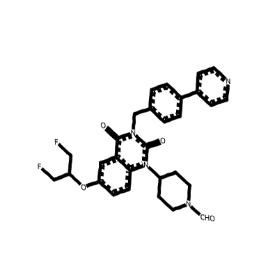 O=CN1CCC(n2c(=O)n(Cc3ccc(-c4ccncc4)cc3)c(=O)c3cc(OC(CF)CF)ccc32)CC1